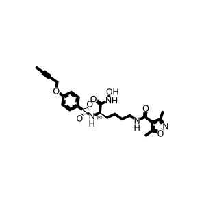 CC#CCOc1ccc(S(=O)(=O)N[C@H](CCCCNC(=O)c2c(C)noc2C)C(=O)NO)cc1